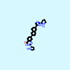 O=c1[nH]c([C@@H]2CCCN2)nc2cc(-c3ccc4cc(-c5cnc([C@@H]6CCCN6)[nH]5)ccc4c3)ccc12